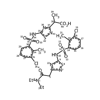 CCN(CC)C(=O)Cc1nsc(NS(=O)(=O)c2cccc(Cl)c2C)n1.Cc1c(Cl)cccc1S(=O)(=O)Nc1nc(C(C)C(=O)O)ns1